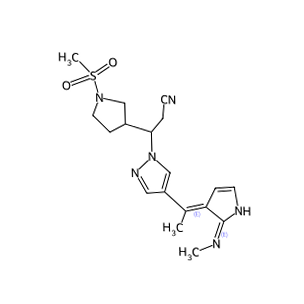 C/N=C1/NC=C/C1=C(/C)c1cnn(C(CC#N)C2CCN(S(C)(=O)=O)C2)c1